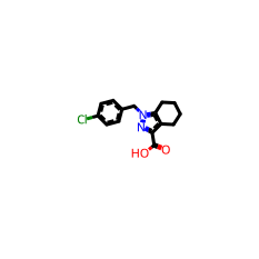 O=C(O)c1nn(Cc2ccc(Cl)cc2)c2c1CCCC2